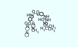 CN1CCN(Cc2c(OC(=O)N3CCC(N4CCCCC4)CC3)ccc3[nH]c(C(=O)c4cc5cc(NC(O)Nc6cc(C(C)(C)C)on6)ccc5o4)cc23)CC1